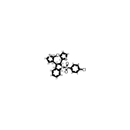 O=S(=O)(c1ccc(Cl)cc1)n1c(-c2cccs2)c(-c2ccsc2Cl)c2ccccc21